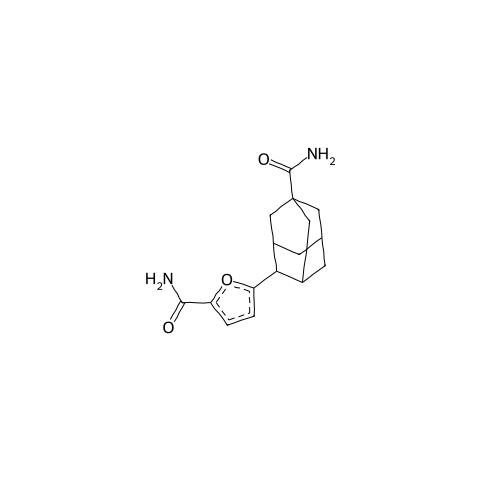 NC(=O)c1ccc(C2C3CC4CC2CC(C(N)=O)(C4)C3)o1